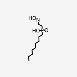 CCCCCCCCCP(=O)(O)CC=NO